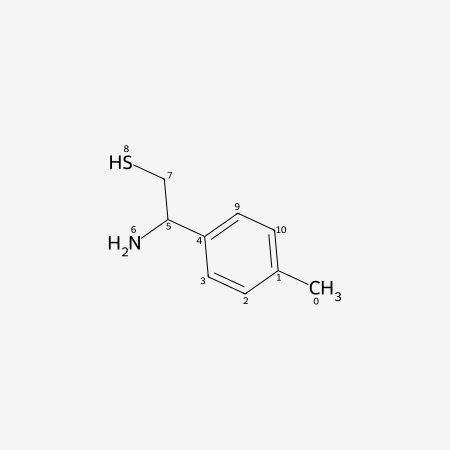 Cc1ccc(C(N)CS)cc1